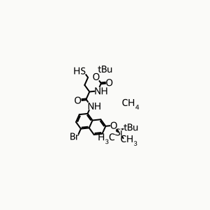 C.CC(C)(C)OC(=O)NC(CCS)C(=O)Nc1ccc(Br)c2ccc(O[Si](C)(C)C(C)(C)C)cc12